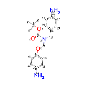 CC(C)(C)OC(=O)N(COc1ccc(N)cc1)Cc1ccc(N)cc1